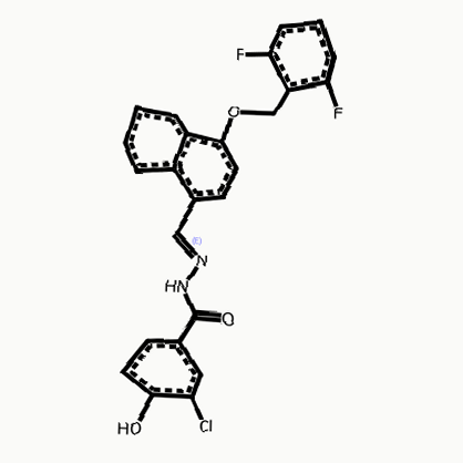 O=C(N/N=C/c1ccc(OCc2c(F)cccc2F)c2ccccc12)c1ccc(O)c(Cl)c1